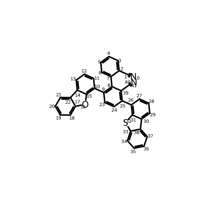 N#Cc1ccccc1-c1c(-c2cccc3c2oc2ccccc23)ccc(-c2cccc3c2sc2ccccc23)c1C#N